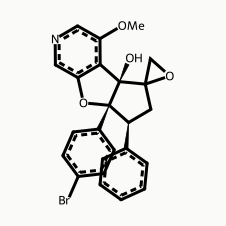 COc1cncc2c1[C@]1(O)C3(CO3)C[C@@H](c3ccccc3)[C@]1(c1ccc(Br)cc1)O2